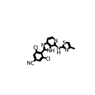 Cc1csc(Nc2nccc3nc(-c4c(Cl)cc(C#N)cc4Cl)[nH]c23)n1